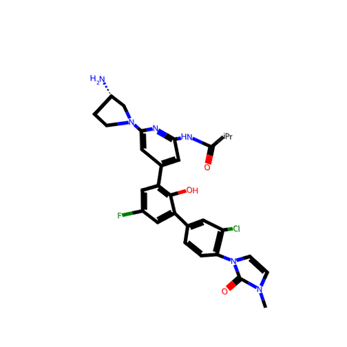 CC(C)C(=O)Nc1cc(-c2cc(F)cc(-c3ccc(-n4ccn(C)c4=O)c(Cl)c3)c2O)cc(N2CC[C@H](N)C2)n1